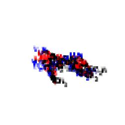 Cc1nc(-c2ccc(C(C)(C)COC(=O)[C@@H]3Cc4ccc(OC[C@H](O)CN)c(c4)-c4cc(cc(OC[C@H](O)CN)c4O)[C@H](N(C)C(=O)[C@H](CCN)NC(=O)c4cnn(-c5ccc(C6(C)CC6)cc5)c(=O)c4)C(=O)N[C@@H](C)C(=O)N3)cc2)nc(C)c1C(=O)N[C@@H](CN)C(=O)N(C)[C@@H]1C(=O)N[C@@H](C)C(=O)N[C@H](C(=O)O)Cc2ccc(OC[C@H](O)CN)c(c2)-c2cc1cc(OC[C@H](O)CN)c2O